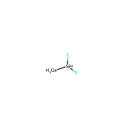 F[SiH](F)[GeH3]